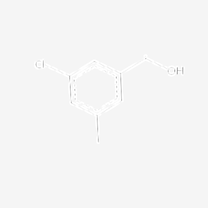 Cc1cc(Cl)cc([CH]O)c1